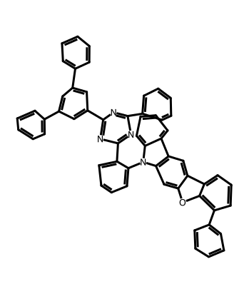 c1ccc(-c2cc(-c3ccccc3)cc(-c3nc(-c4ccccc4)nc(-c4ccccc4-n4c5ccccc5c5cc6c(cc54)oc4c(-c5ccccc5)cccc46)n3)c2)cc1